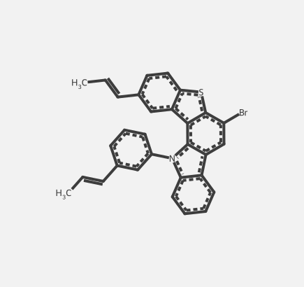 C/C=C/c1cccc(-n2c3ccccc3c3cc(Br)c4sc5ccc(/C=C/C)cc5c4c32)c1